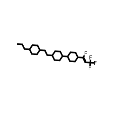 CCCC1CCC(CCC2CCC(C3CCC(/C(F)=C/C(F)(F)F)CC3)CC2)CC1